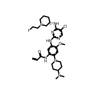 C=CC(=O)Nc1cc(Nc2ncc(Cl)c(N[C@H]3CCCN(CCF)C3)n2)c(OC)cc1N1CCC(N(C)C)CC1